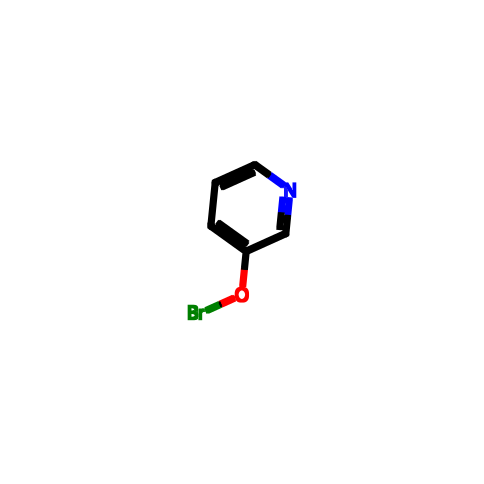 BrOc1cccnc1